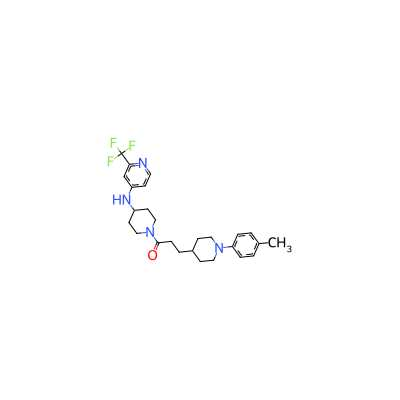 Cc1ccc(N2CCC(CCC(=O)N3CCC(Nc4ccnc(C(F)(F)F)c4)CC3)CC2)cc1